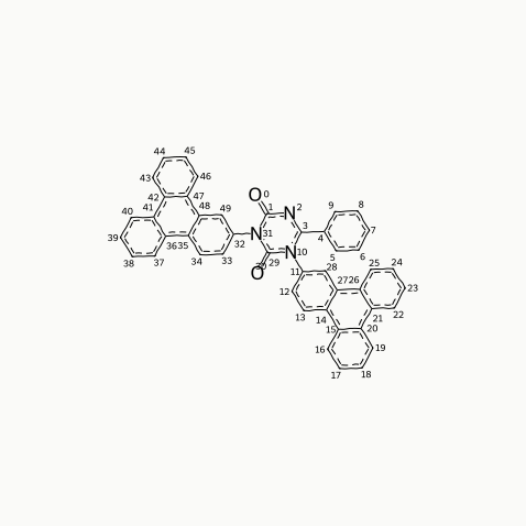 O=c1nc(-c2ccccc2)n(-c2ccc3c4ccccc4c4ccccc4c3c2)c(=O)n1-c1ccc2c3ccccc3c3ccccc3c2c1